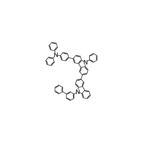 c1ccc(-c2cccc(-n3c4ccccc4c4cc(-c5ccc6c(c5)c5cc(-c7ccc(N(c8ccccc8)c8ccccc8)cc7)ccc5n6-c5ccccc5)ccc43)c2)cc1